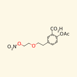 CC(=O)Oc1ccc(CCOCCO[N+](=O)[O-])cc1C(=O)O